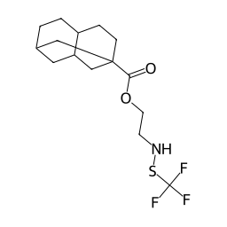 O=C(OCCNSC(F)(F)F)C12CCC3CCC(CC3C1)C2